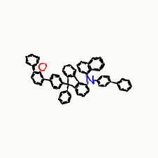 c1ccc(-c2ccc(N(c3cccc4c3-c3ccccc3C4(c3ccccc3)c3ccc(-c4cccc5c4oc4ccccc45)cc3)c3cccc4ccccc34)cc2)cc1